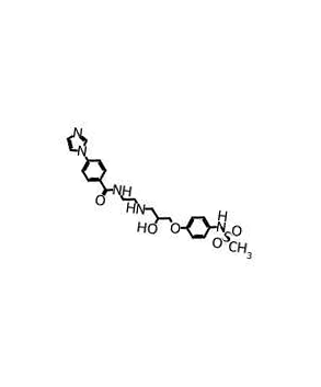 CS(=O)(=O)Nc1ccc(OCC(O)CNCCNC(=O)c2ccc(-n3ccnc3)cc2)cc1